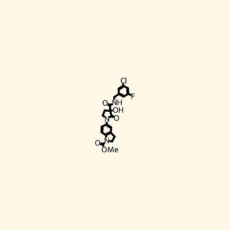 COC(=O)N1CCc2cc(N3CCC(O)(C(=O)NCc4cc(F)cc(Cl)c4)C3=O)ccc21